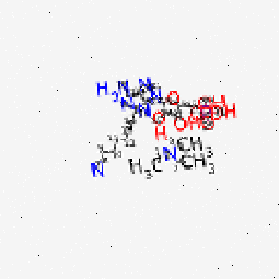 CCN(CC)CC.N#CCCCCC#Cc1nc(N)c2ncn([C@@H]3O[C@H](COP(=O)(O)O)[C@@H](O)[C@H]3O)c2n1